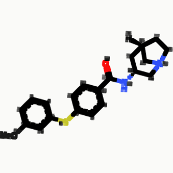 COc1cccc(Sc2ccc(C(=O)N[C@@H]3C[C@@H]4CCN(C4)C3)cc2)c1